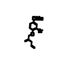 C=CCC(=C)COc1ccc(OC)cc1Br